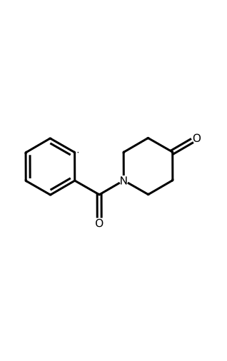 O=C1CCN(C(=O)c2[c]cccc2)CC1